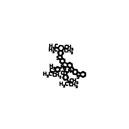 CC(C)(C)c1ccc(N2B3c4oc5ccc(C(C)(C)C)cc5c4-n4c5cc6sc7ccccc7c6cc5c5ccc(c3c54)-c3cc4c(cc32)sc2cc3c(cc24)C(C)(C)CCC3(C)C)cc1